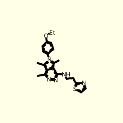 CCOc1ccc(-n2c(C)c3c(C)nnc(NCCc4nccs4)c3c2C)cc1